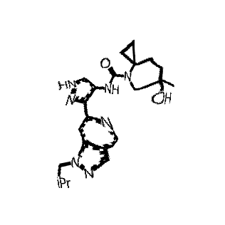 CC(C)Cn1ncc2cnc(-c3n[nH]cc3NC(=O)N3CC(C)(O)CCC34CC4)cc21